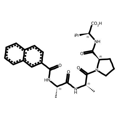 CC(C)[C@H](NC(=O)[C@H]1CCCN1C(=O)[C@H](C)NC(=O)[C@H](C)NC(=O)c1ccc2ccccc2c1)C(=O)O